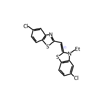 CCN1/C(=C/c2nc3cc(Cl)ccc3s2)Sc2ccc(Cl)cc21